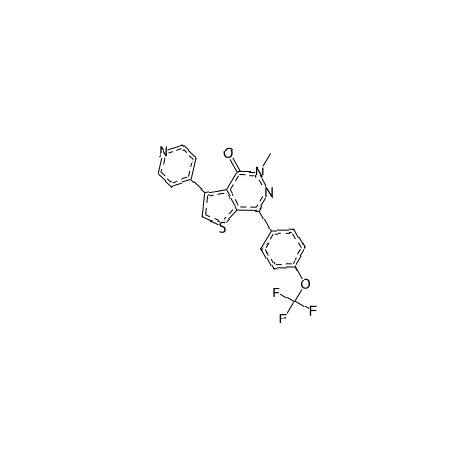 Cn1nc(-c2ccc(OC(F)(F)F)cc2)c2scc(-c3ccncc3)c2c1=O